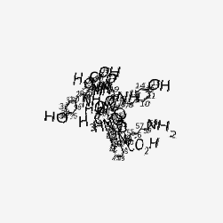 C[C@@H](O)[C@H](NC(=O)[C@H](Cc1ccc(O)cc1)NC(=O)CNC(=O)[C@@H](NC(=O)[C@@H](N)Cc1ccc(O)cc1)[C@@H](C)O)C(=O)N[C@@H](Cc1ccccc1)C(=O)N[C@@H](CCCCN)C(=O)O